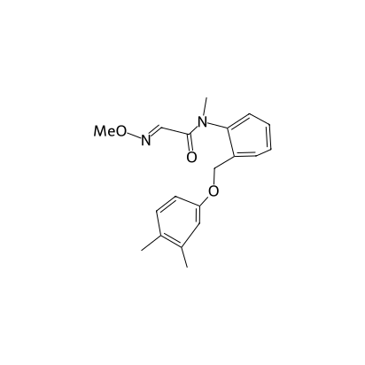 CON=CC(=O)N(C)c1ccccc1COc1ccc(C)c(C)c1